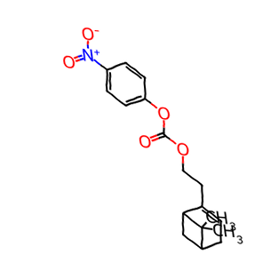 CC1(C)C2CC=C(CCOC(=O)Oc3ccc([N+](=O)[O-])cc3)C1C2